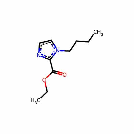 CCCCn1ccnc1C(=O)OCC